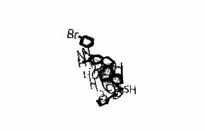 C[C@]12Cc3cnn(-c4cccc(Br)c4)c3C=C1CC[C@@H]1[C@@H]2[C@@H](O)C[C@@]2(C)[C@H]1CC[C@]2(OC(=O)c1ccco1)C(=O)S